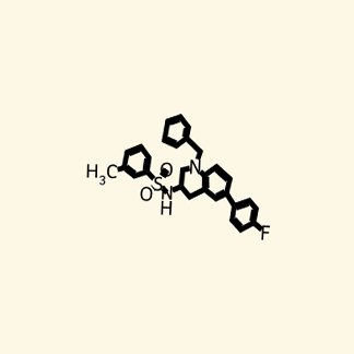 Cc1cccc(S(=O)(=O)NC2Cc3cc(-c4ccc(F)cc4)ccc3N(Cc3ccccc3)C2)c1